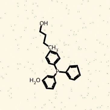 CCCCO.O.c1ccc(P(c2ccccc2)c2ccccc2)cc1